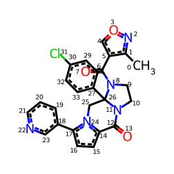 Cc1nocc1C(=O)N1CCN2C(=O)c3ccc(-c4cccnc4)n3CC12c1ccc(Cl)cc1